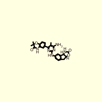 Cc1c(N)nc(Nc2ccc3c(c2)[C@@H]2NC(=O)O[C@@H]2C3)nc1-c1ccc2c(c1)NC(=O)C(C)(C)O2